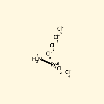 [Cl-].[Cl-].[Cl-].[Cl-].[Cl-].[Cl-].[NH2][Re+6]